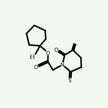 C=C1CCC(=S)N(CC(=O)OC2(CC)CCCCC2)C1=O